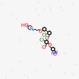 O=Cc1cc(Cl)c(OCc2cccc(-c3cccc(OCCCCN4CCC(O)CC4)c3)c2Cl)cc1OCc1ccc2nonc2c1